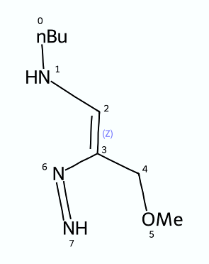 CCCCN/C=C(/COC)N=N